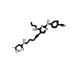 CCCNc1nc(Nc2ccc(C#N)cc2)ncc1C#CCCCNC(=O)C[C@@H](C)O